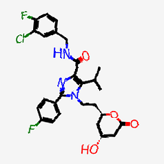 CC(C)c1c(C(=O)NCc2ccc(F)c(Cl)c2)nc(-c2ccc(F)cc2)n1CC[C@@H]1C[C@@H](O)CC(=O)O1